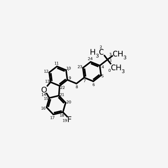 CC(C)(C)c1ccc(Cc2[c]ccc3oc4ccc(F)cc4c23)cc1